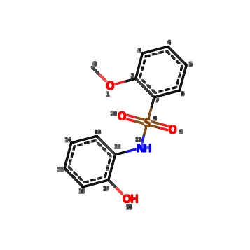 COc1ccccc1S(=O)(=O)Nc1ccccc1O